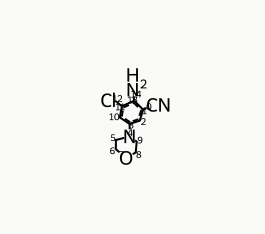 N#Cc1cc(N2CCOCC2)cc(Cl)c1N